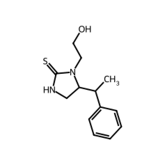 CC(c1ccccc1)C1CNC(=S)N1CCO